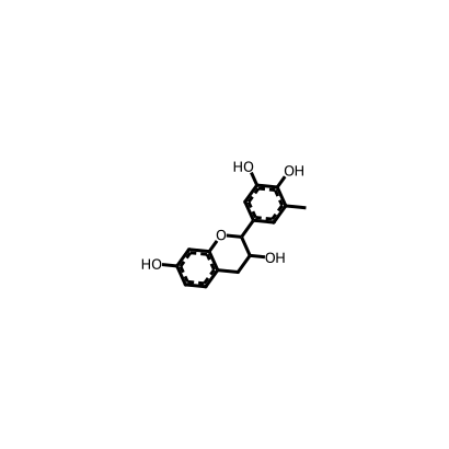 Cc1cc(C2Oc3cc(O)ccc3CC2O)cc(O)c1O